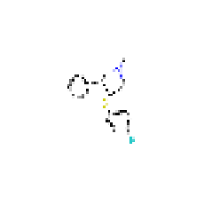 CN1CCC(Sc2ccc(F)cc2)C(c2ccccc2)C1